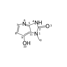 Cn1c(=O)[nH]c2nccc(O)c21